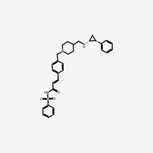 O=C(C=Cc1ccc(CN2CCC(CN[C@@H]3C[C@H]3c3ccccc3)CC2)cc1)NS(=O)(=O)c1ccccc1